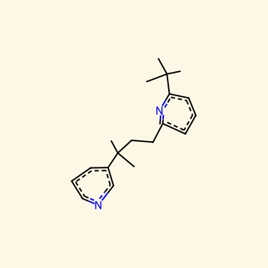 CC(C)(C)c1cccc(CCC(C)(C)c2cccnc2)n1